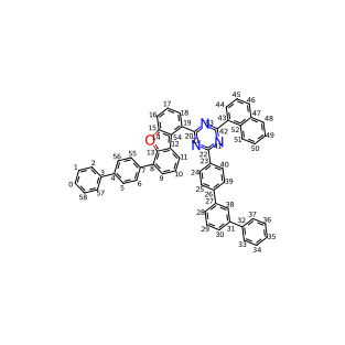 c1ccc(-c2ccc(-c3cccc4c3oc3cccc(-c5nc(-c6ccc(-c7cccc(-c8ccccc8)c7)cc6)nc(-c6cccc7ccccc67)n5)c34)cc2)cc1